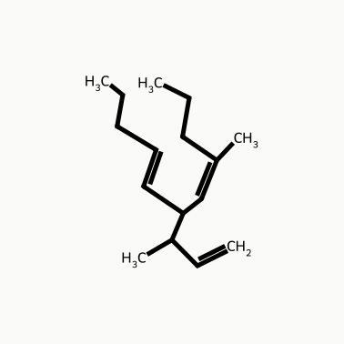 C=CC(C)C(C=CCCC)C=C(C)CCC